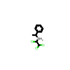 CC([SiH2]C(Cl)C(Cl)Cl)c1ccccc1